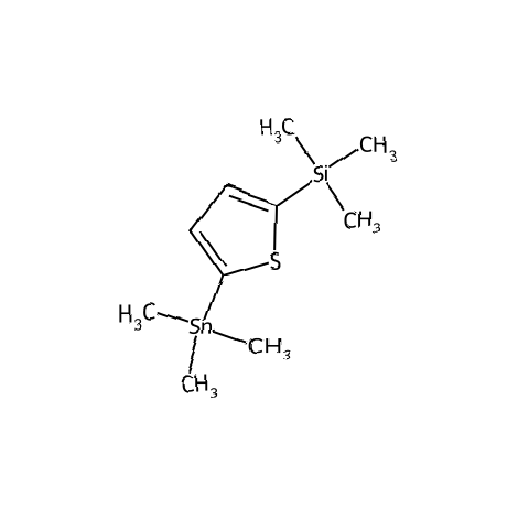 C[Si](C)(C)c1cc[c]([Sn]([CH3])([CH3])[CH3])s1